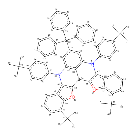 CC(C)(C)c1ccc(N2c3cc([Si](c4ccccc4)(c4ccccc4)c4ccccc4)cc4c3B(c3oc5c(C(C)(C)C)cccc5c32)c2oc3c(C(C)(C)C)cccc3c2N4c2ccc(C(C)(C)C)cc2)cc1